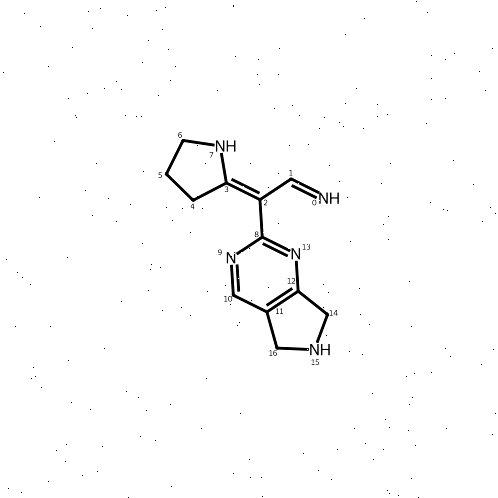 N=C/C(=C1/CCCN1)c1ncc2c(n1)CNC2